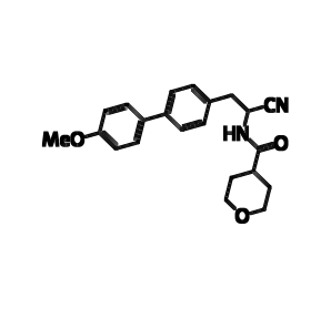 COc1ccc(-c2ccc(CC(C#N)NC(=O)C3CCOCC3)cc2)cc1